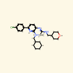 O=C/C(=N\c1ccc(-c2ccc(Cl)cc2)nc1NCC1CCCCC1)NCC1CCOCC1